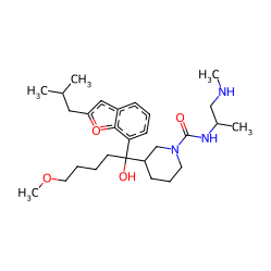 CNCC(C)NC(=O)N1CCCC(C(O)(CCCCOC)c2cccc3cc(CC(C)C)oc23)C1